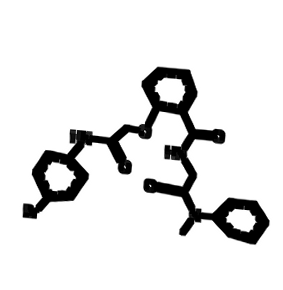 CN(C(=O)CNC(=O)c1ccccc1OCC(=O)Nc1ccc(Br)cc1)c1ccccc1